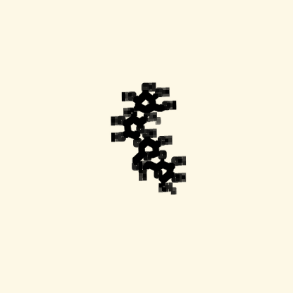 CC1O[C@@H](O[C@H]2C(CO)O[C@@H](O[C@H]3C(CO)O[C@@H](N)C(O)C3O)C(O)C2O)C(O)C(O)[C@H]1N[C@@H]1C=C(CO)[C@H](O)C(O)C1O